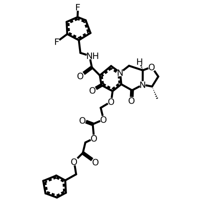 C[C@H]1CO[C@@H]2Cn3cc(C(=O)NCc4ccc(F)cc4F)c(=O)c(OCOC(=O)OCC(=O)OCc4ccccc4)c3C(=O)N12